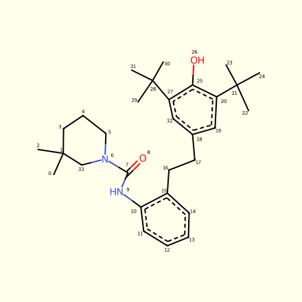 CC1(C)CCCN(C(=O)Nc2ccccc2CCc2cc(C(C)(C)C)c(O)c(C(C)(C)C)c2)C1